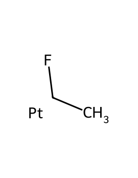 CCF.[Pt]